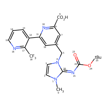 Cn1ccn(Cc2cc(C(=O)O)nc(-c3cccnc3C(F)(F)F)c2)/c1=N\C(=O)OC(C)(C)C